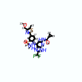 CN=S(C)(=O)c1cc(-c2nc(COC)c(C)s2)ccc1Nc1cc(NC(=O)C2CC2)nc2[nH]c(C(F)F)nc12